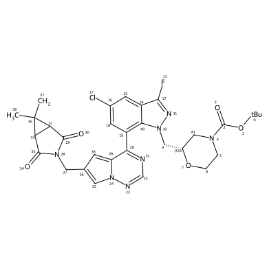 CC(C)(C)OC(=O)N1CCO[C@H](Cn2nc(F)c3cc(Cl)cc(-c4ncnn5cc(CN6C(=O)C7C(C6=O)C7(C)C)cc45)c32)C1